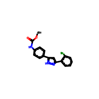 CC(C)(C)OC(=O)Nc1ccc(-c2cc(-c3ccccc3Br)n[nH]2)cc1